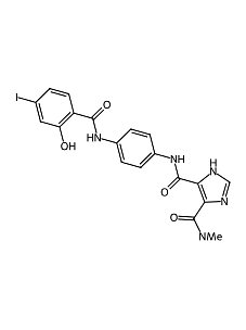 CNC(=O)c1nc[nH]c1C(=O)Nc1ccc(NC(=O)c2ccc(I)cc2O)cc1